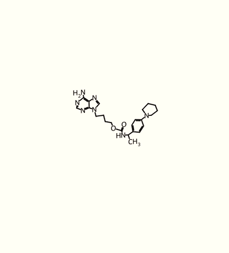 CC(NC(=O)OCCCCn1cnc2c(N)ncnc21)c1ccc(N2CCCCC2)cc1